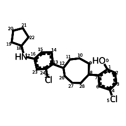 Oc1ccc(Cl)cc1C1CCCC(c2ccc(NC3CCCC3)cc2Cl)CCC1